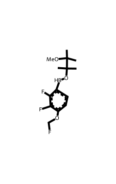 COC(C)(C)C(C)(C)OBc1ccc(OCF)c(F)c1F